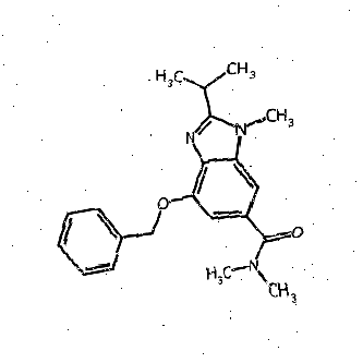 CC(C)c1nc2c(OCc3ccccc3)cc(C(=O)N(C)C)cc2n1C